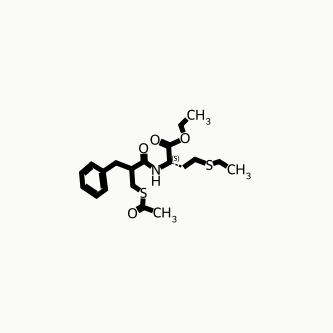 CCOC(=O)[C@H](CCSCC)NC(=O)C(CSC(C)=O)Cc1ccccc1